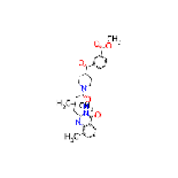 COC(=O)c1cccc(C(=O)C2CCN(C(=O)CC(C)(C)Cc3nc4c(C)cccc4c(=O)[nH]3)CC2)c1